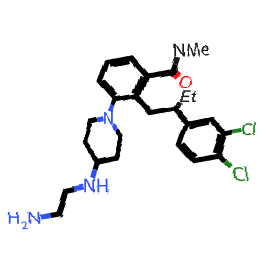 CCC(Cc1c(C(=O)NC)cccc1N1CCC(NCCN)CC1)c1ccc(Cl)c(Cl)c1